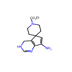 CCOC(=O)N1CCC2(C=C(N)C3=C2CNC=N3)CC1